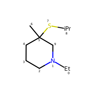 CCN1CCCC(C)(SC(C)C)C1